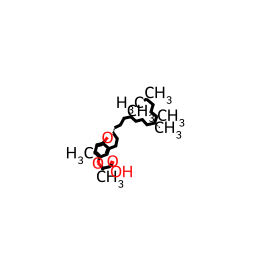 Cc1cc2c(cc1OC(C)C(=O)O)CC[C@@H](CCC[C@H](C)CCC[C@@H](C)C(C)CCC(C)C)O2